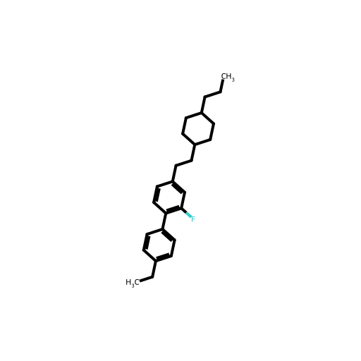 CCCC1CCC(CCc2ccc(-c3ccc(CC)cc3)c(F)c2)CC1